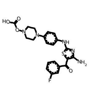 Nc1nc(Nc2ccc(N3CCN(OC(=O)O)CC3)cc2)sc1C(=O)c1cccc(F)c1